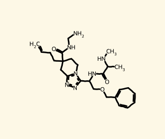 C=CCCC1(C(=O)NCN)CCn2c(nnc2C(COCC2=CCC=CC=C2)NC(=O)C(C)NC)C1